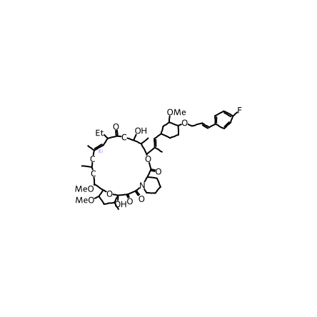 CCC1/C=C(\C)CC(C)CC(OC)C2OC(O)(C(=O)C(=O)N3CCCCC3C(=O)OC(C(C)=CC3CCC(OCC=Cc4ccc(F)cc4)C(OC)C3)C(C)C(O)CC1=O)C(C)CC2OC